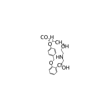 CC(Oc1ccc(COc2ccccc2Cl)cc1)C(=O)O.OCCNCCO